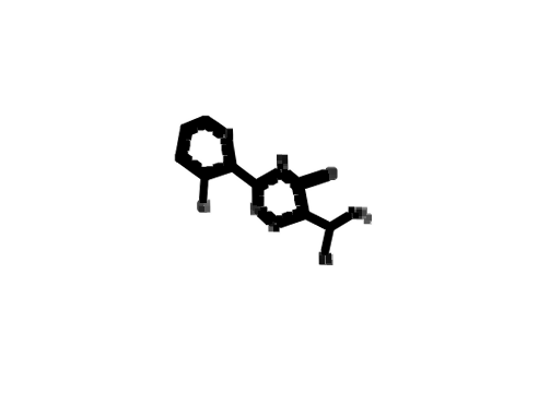 CCC(N)c1nnc(-c2ncccc2Cl)[nH]c1=O